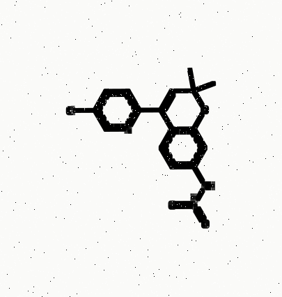 CC1(C)C=C(c2ccc(Cl)cn2)c2ccc(N[SH](=O)=O)cc2O1